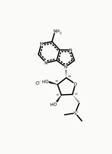 C[S+](C)C[C@H]1O[C@@H](n2cnc3c(N)ncnc32)[C@H](O)[C@@H]1O.[Cl-]